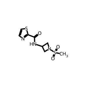 CS(=O)(=O)N1CC(NC(=O)c2nccs2)C1